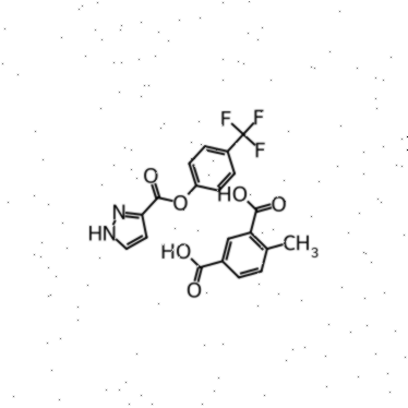 Cc1ccc(C(=O)O)cc1C(=O)O.O=C(Oc1ccc(C(F)(F)F)cc1)c1cc[nH]n1